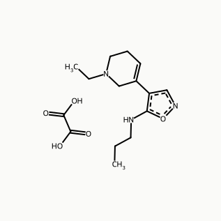 CCCNc1oncc1C1=CCCN(CC)C1.O=C(O)C(=O)O